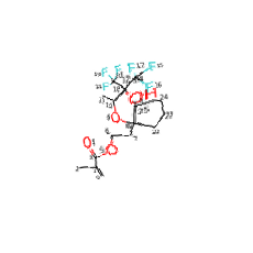 C=C(C)C(=O)OCCC1(OC(C)C(O)(C(F)(F)F)C(F)(F)F)CCCC1